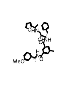 COc1cccc([C@@H](C)NC(=O)c2cc(C)cc(C(=O)N[C@@H](Cc3ccccc3)[C@H](O)CNC(C)c3ccco3)c2)c1